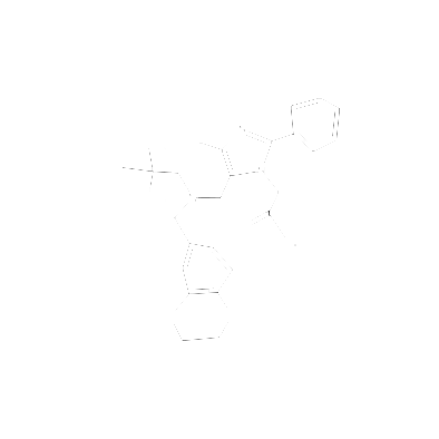 CC(C)(C)CN(Cc1ccc2c(c1)OCCO2)Cc1c(Cl)nc(-c2ccccc2)n1CC(=O)O